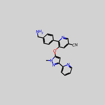 Cn1nc(-c2ccccn2)cc1Oc1cc(C#N)cnc1-c1ccc(CN)cc1